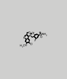 COc1cc2ncc3c(c2cc1Cl)N(Cc1c(F)cc(S(N)(=O)=O)cc1F)C(=O)OC3